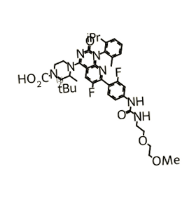 COCCOCCNC(=O)Nc1ccc(-c2nc3c(cc2F)c(N2CCN(C(=O)O)[C@@H](C(C)(C)C)C2C)nc(=O)n3-c2c(C)cccc2C(C)C)c(F)c1